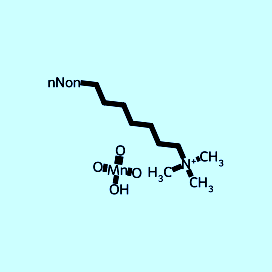 CCCCCCCCCCCCCCCC[N+](C)(C)C.[O]=[Mn](=[O])(=[O])[OH]